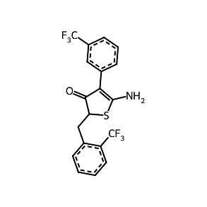 NC1=C(c2cccc(C(F)(F)F)c2)C(=O)C(Cc2ccccc2C(F)(F)F)S1